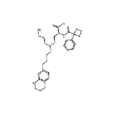 COCCN(CCCCc1ccc2c(n1)NCCC2)CC[C@H](NC(=O)C1(c2ccccc2)CCC1)C(=O)O